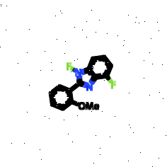 COc1ccccc1-c1nc2c(F)cccc2n1F